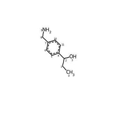 CCC(O)c1ccc(CN)cc1